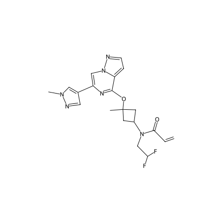 C=CC(=O)N(CC(F)F)C1CC(C)(Oc2nc(-c3cnn(C)c3)cn3nccc23)C1